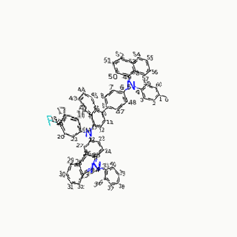 Cc1ccc(N(c2ccc(-c3ccc(N(c4ccc(F)cc4)c4ccc5c(c4)c4ccccc4n5-c4ccccc4)c4ccccc34)cc2)c2cccc3ccccc23)cc1